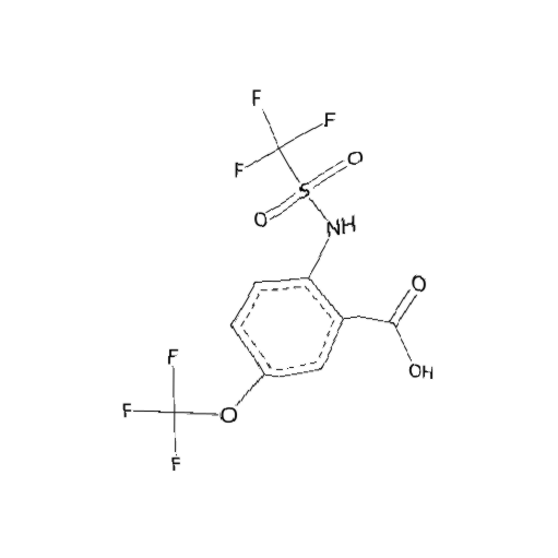 O=C(O)c1cc(OC(F)(F)F)ccc1NS(=O)(=O)C(F)(F)F